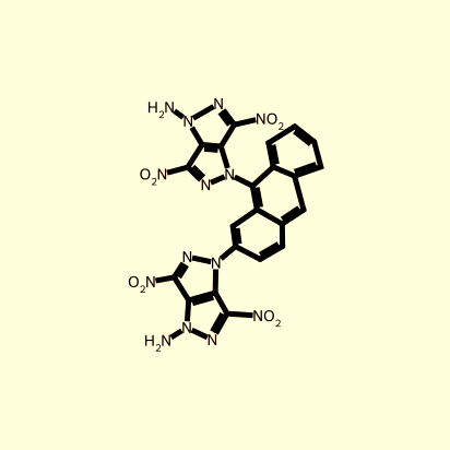 Nn1nc([N+](=O)[O-])c2c1c([N+](=O)[O-])nn2-c1ccc2cc3ccccc3c(-n3nc([N+](=O)[O-])c4c3c([N+](=O)[O-])nn4N)c2c1